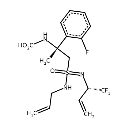 C=CCNS(=O)(C[C@](C)(NC(=O)O)c1ccccc1F)=N[C@@H](C=C)C(F)(F)F